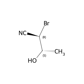 C[C@H](O)[C@H](Br)C#N